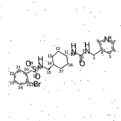 O=C(NCc1cccnc1)N[C@H]1CC[C@H](CNS(=O)(=O)c2ccccc2Br)CC1